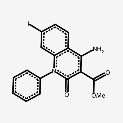 COC(=O)c1c(N)c2ccc(I)cc2n(-c2ccccc2)c1=O